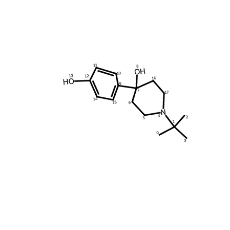 CC(C)(C)N1CCC(O)(c2ccc(O)cc2)CC1